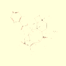 CO[C@H]1C[C@H]2CC[C@@]2(OC(C)=O)[C@H]2[C@H](OC(=O)c3ccccc3)[C@]3(O)C[C@@H](O)C(C)=C([C@@H](O)C(=O)[C@]12C)C3(C)C